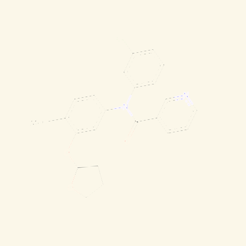 COc1ccc(N(C(=O)c2cccnc2)c2cccc(Cl)c2)cc1OC1CCCO1